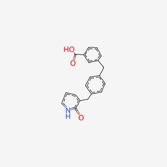 O=C(O)c1cccc(Cc2ccc(Cc3ccc[nH]c3=O)cc2)c1